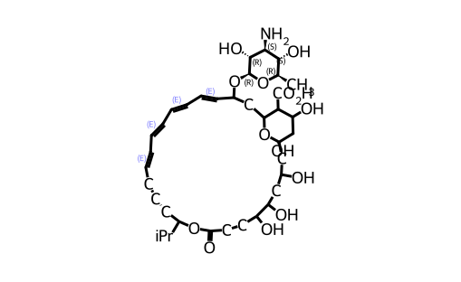 CC(C)C1CCC/C=C/C=C/C=C/C=C/C(O[C@@H]2O[C@H](C)[C@@H](O)[C@H](N)[C@H]2O)CC2OC(O)(CC(O)CC(O)C(O)CCC(=O)O1)CC(O)C2C(=O)O